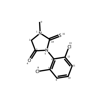 CN1CC(=O)N(c2c(Cl)cccc2Cl)C1=S